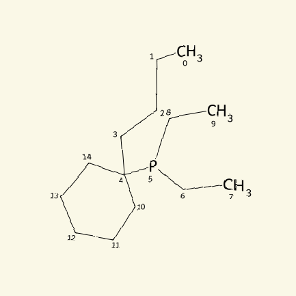 CCCCC1(P(CC)CC)CCCCC1